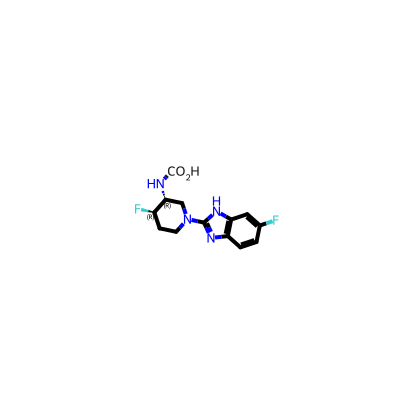 O=C(O)N[C@@H]1CN(c2nc3ccc(F)cc3[nH]2)CC[C@H]1F